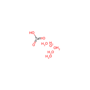 O.O.O.O.O.[O]=[Ta](=[O])[OH]